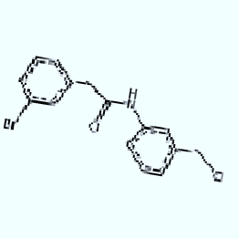 O=C(Cc1cccc(Br)c1)Nc1cccc(CCl)c1